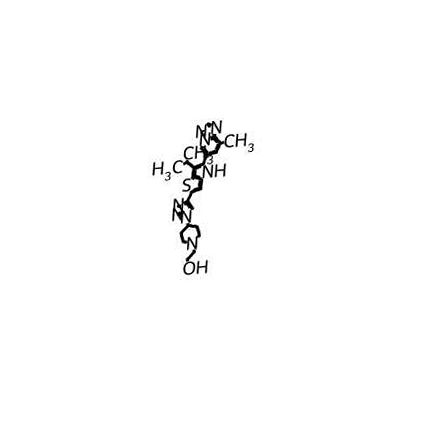 Cc1cc(-c2[nH]c3cc(-c4cn(C5CCN(CCO)CC5)nn4)sc3c2C(C)C)cn2ncnc12